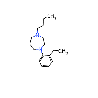 CCCCN1CCCN(c2ccccc2CC)CC1